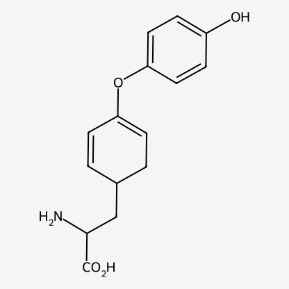 NC(CC1C=CC(Oc2ccc(O)cc2)=CC1)C(=O)O